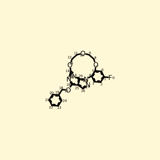 Fc1ccc2c(c1)OCCOCCOc1nc(OCc3ccccc3)c3cnn-2c3n1